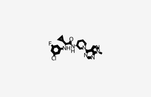 Cn1ncc2c(N3CCC[C@@H](NC(=O)[C@H](Nc4cc(F)cc(Cl)c4)C4CC4)C3)ncnc21